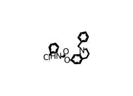 O=C(Nc1ccccc1Cl)Oc1ccc2c(c1)N(Cc1ccccc1)CCC2